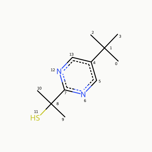 CC(C)(C)c1cnc(C(C)(C)S)nc1